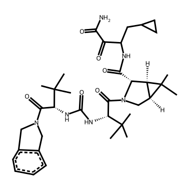 CC(C)(C)[C@H](NC(=O)N[C@H](C(=O)N1C[C@H]2[C@@H]([C@H]1C(=O)NC(CC1CC1)C(=O)C(N)=O)C2(C)C)C(C)(C)C)C(=O)N1Cc2ccccc2C1